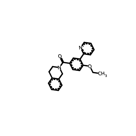 CCOc1ccc(C(=O)N2CCc3ccccc3C2)cc1-c1ccccn1